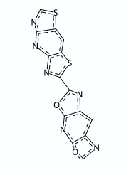 c1nc2cc3nc(-c4nc5nc6ncsc6cc5s4)oc3nc2o1